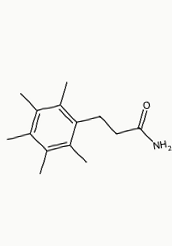 Cc1c(C)c(C)c(CCC(N)=O)c(C)c1C